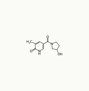 Cc1cc(C(=O)N2CCC(O)C2)c[nH]c1=O